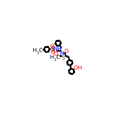 C=c1s/c(=C\c2ccc(-c3ccccc3O)cc2)c(=O)n1[C@@H](Cc1ccccc1)C(=O)NS(=O)(=O)c1ccc(C)cc1